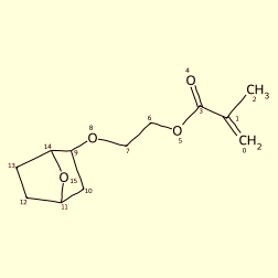 C=C(C)C(=O)OCCOC1CC2CCC1O2